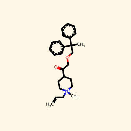 C=CC[N+]1(C)CCC(C(=O)COCC(C)(c2ccccc2)c2ccccc2)CC1